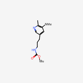 [CH]Nc1cc(CCCNC(=O)OC(C)(C)C)cnc1C